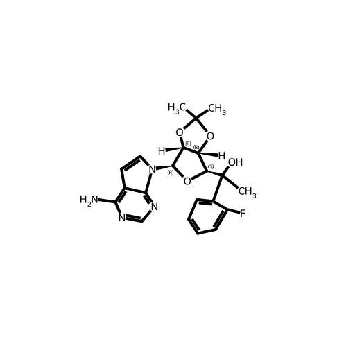 CC1(C)O[C@@H]2[C@H](O1)[C@@H](C(C)(O)c1ccccc1F)O[C@H]2n1ccc2c(N)ncnc21